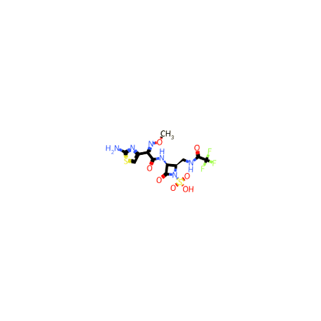 CON=C(C(=O)N[C@@H]1C(=O)N(S(=O)(=O)O)[C@@H]1CNC(=O)C(F)(F)F)c1csc(N)n1